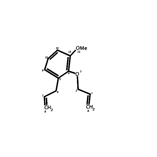 C=CCOc1c(CC=C)cccc1OC